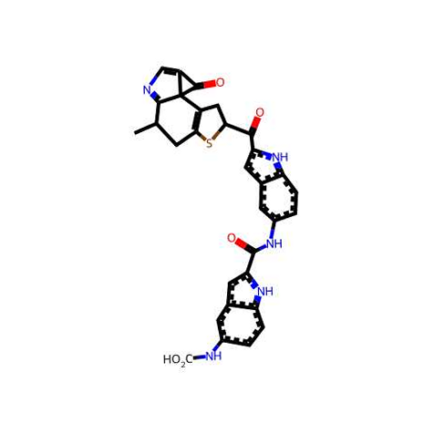 CC1CC2=C(CC(C(=O)c3cc4cc(NC(=O)c5cc6cc(NC(=O)O)ccc6[nH]5)ccc4[nH]3)S2)C23C(=O)C2=CN=C13